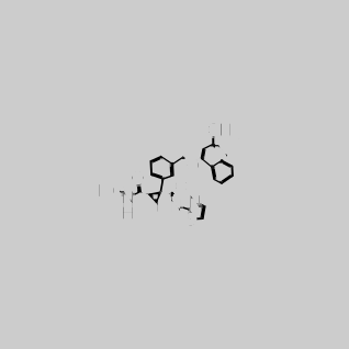 Cc1cc(OCc2cccc([C@@]3(C(=O)Nc4nccs4)C[C@H]3C(=O)NO)c2)c2ccccc2n1